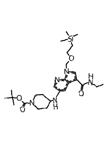 CCNC(=O)c1cn(COCC[Si](C)(C)C)c2ncc(NC3CCN(C(=O)OC(C)(C)C)CC3)cc12